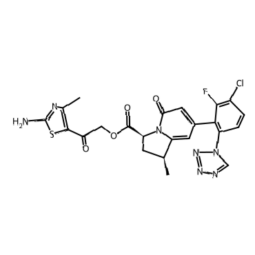 Cc1nc(N)sc1C(=O)COC(=O)[C@@H]1C[C@H](C)c2cc(-c3c(-n4cnnn4)ccc(Cl)c3F)cc(=O)n21